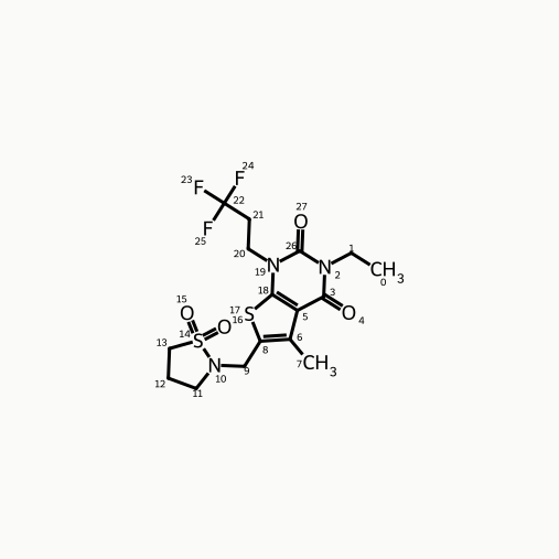 CCn1c(=O)c2c(C)c(CN3CCCS3(=O)=O)sc2n(CCC(F)(F)F)c1=O